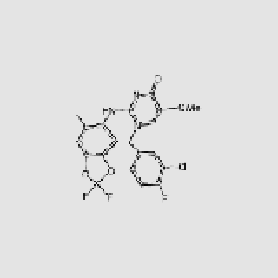 COc1cn(Cc2ccc(F)c(Cl)c2)c(Nc2cc3c(cc2C)OC(F)(F)O3)nc1=O